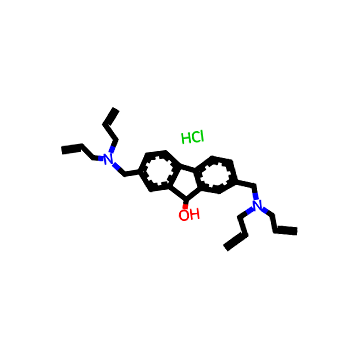 C=CCN(CC=C)Cc1ccc2c(c1)C(O)c1cc(CN(CC=C)CC=C)ccc1-2.Cl